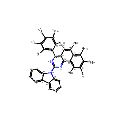 [2H]c1c([2H])c([2H])c(-c2nc(-n3c4ccccc4c4ccccc43)nc3c2c([2H])c([2H])c2c([2H])c([2H])c([2H])c([2H])c23)c([2H])c1[2H]